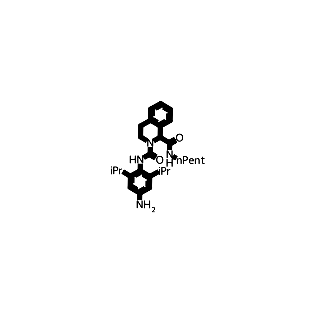 CCCCCNC(=O)C1c2ccccc2CCN1C(=O)Nc1c(C(C)C)cc(N)cc1C(C)C